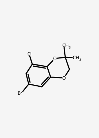 CC1(C)COc2cc(Br)cc(Cl)c2O1